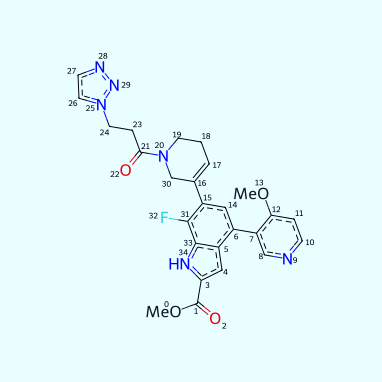 COC(=O)c1cc2c(-c3cnccc3OC)cc(C3=CCCN(C(=O)CCn4ccnn4)C3)c(F)c2[nH]1